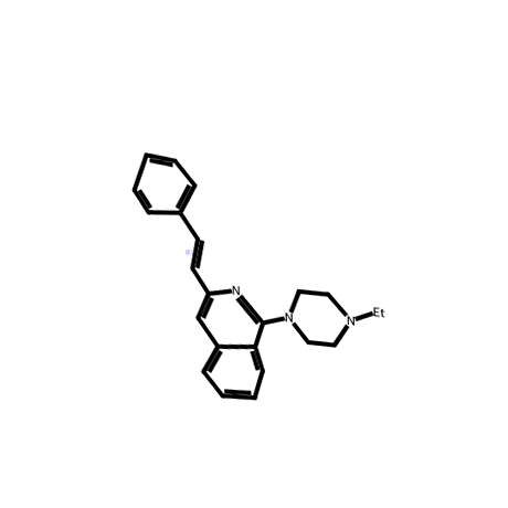 CCN1CCN(c2nc(/C=C/c3ccccc3)cc3ccccc23)CC1